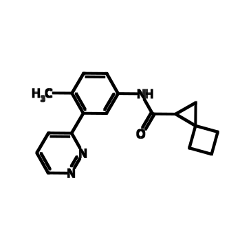 Cc1ccc(NC(=O)C2CC23CCC3)cc1-c1cccnn1